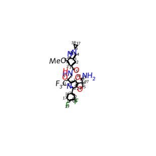 COc1cc(C(=O)NCC(O)(c2cc3c(c(-c4ccc(F)c(F)c4)n2)OC[C@]3(C)C(N)=O)C(F)(F)F)cc2cn(C3CC3)nc12